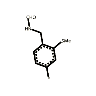 CSc1cc(F)ccc1CNC=O